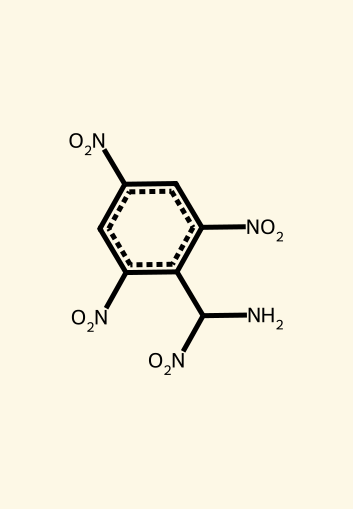 NC(c1c([N+](=O)[O-])cc([N+](=O)[O-])cc1[N+](=O)[O-])[N+](=O)[O-]